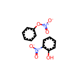 O=[N+]([O-])Oc1ccccc1.O=[N+]([O-])c1ccccc1O